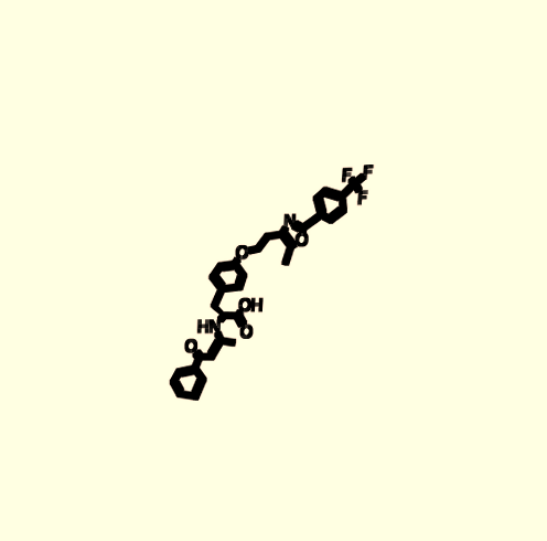 CC(=CC(=O)c1ccccc1)N[C@@H](Cc1ccc(OCCc2nc(-c3ccc(C(F)(F)F)cc3)oc2C)cc1)C(=O)O